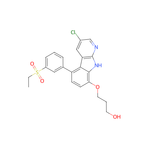 CCS(=O)(=O)c1cccc(-c2ccc(OCCCO)c3[nH]c4ncc(Cl)cc4c23)c1